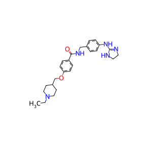 CCN1CCC(COc2ccc(C(=O)NCc3ccc(NC4=NCCN4)cc3)cc2)CC1